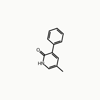 Cc1c[nH]c(=O)c(-c2ccccc2)c1